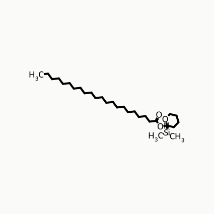 CCCCCCCCCCCCCCCCCCCCCC(=O)OC1([SiH](C)C)CCCCO1